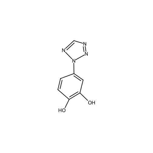 Oc1ccc(-n2ncnn2)cc1O